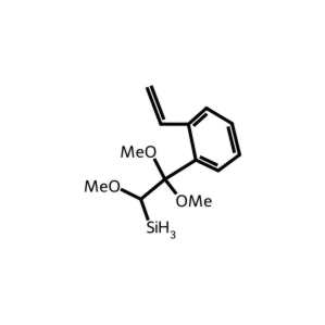 C=Cc1ccccc1C(OC)(OC)C([SiH3])OC